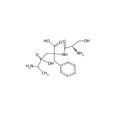 CC(N)P(=O)(O)CC(Cc1ccccc1)(NC(=O)[C@H](N)CO)C(=O)O